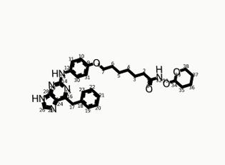 O=C(CCCCCCOc1ccc(Nc2nc(Cc3ccccc3)c3nc[nH]c3n2)cc1)NOC1CCCCO1